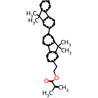 C=C(C)C(=O)OCCc1ccc2c(c1)C(C)(C)c1cc(-c3ccc4c(c3)C(C)(C)c3ccccc3-4)ccc1-2